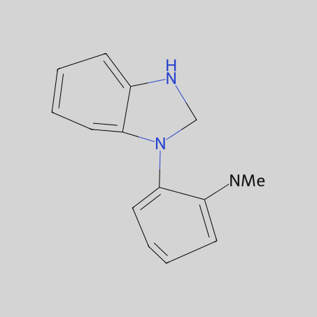 CNc1ccccc1N1CNc2ccccc21